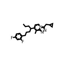 CCCC(CCCc1ccc(F)cc1F)c1ccn2c(CC3CC3)nnc2c1C